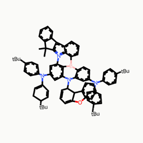 CC(C)(C)c1ccc(N(C2=CCC(C(C)(C)C)C=C2)c2cc3c4c(c2)-n2c5c(c6cccc(c62)B4c2ccc(N(c4ccc(C(C)(C)C)cc4)c4ccc(C(C)(C)C)cc4)cc2N3C2C=CC=C3Oc4ccccc4C32)-c2ccccc2C5(C)C)cc1